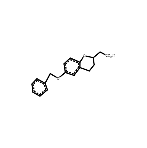 CCOC(=O)CC1CCc2cc(OCc3ccccc3)ccc2O1